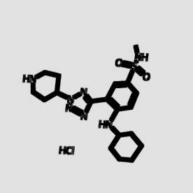 CNS(=O)(=O)c1ccc(NC2CCCCC2)c(-c2nnn(C3CCNCC3)n2)c1.Cl